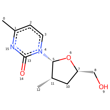 Cc1ccn([C@@H]2O[C@H](CO)C[C@@H]2C)c(=O)n1